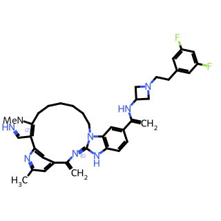 C=C1/N=C2\Nc3ccc(C(=C)NC4CN(CCc5cc(F)cc(F)c5)C4)cc3N2CCCCCC/C(NC)=C(/C=N)c2cc1cc(C)n2